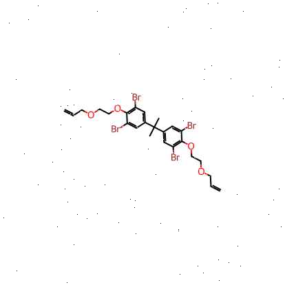 C=CCOCCOc1c(Br)cc(C(C)(C)c2cc(Br)c(OCCOCC=C)c(Br)c2)cc1Br